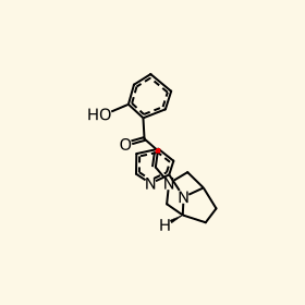 O=C(/C=C/N1CC2CC[C@H](C1)N2c1ccccn1)c1ccccc1O